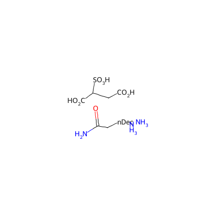 CCCCCCCCCCCC(N)=O.N.N.O=C(O)CC(C(=O)O)S(=O)(=O)O